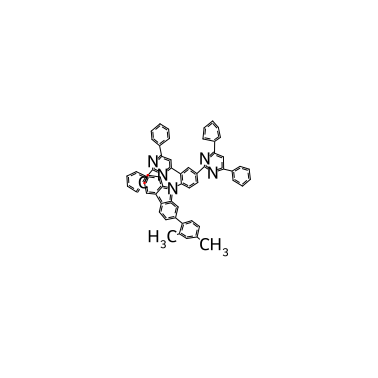 Cc1ccc(-c2ccc3c4ccccc4n(-c4ccc(-c5nc(-c6ccccc6)cc(-c6ccccc6)n5)cc4-c4cc(-c5ccccc5)nc(-c5ccccc5)n4)c3c2)c(C)c1